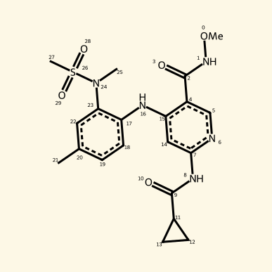 CONC(=O)c1cnc(NC(=O)C2CC2)cc1Nc1ccc(C)cc1N(C)S(C)(=O)=O